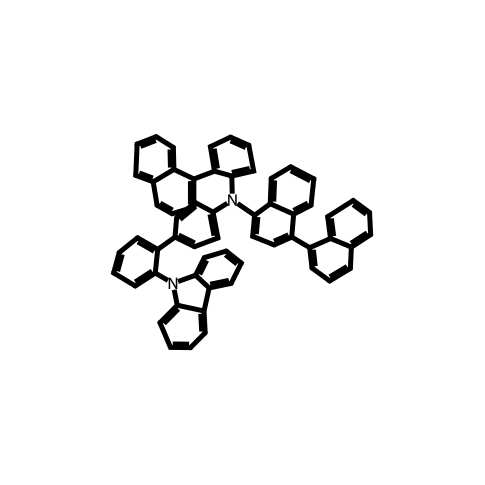 c1ccc(N(c2ccc(-c3ccccc3-n3c4ccccc4c4ccccc43)cc2)c2ccc(-c3cccc4ccccc34)c3ccccc23)c(-c2cccc3ccccc23)c1